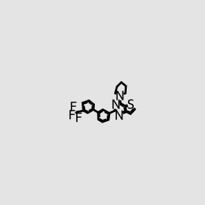 FC(F)(F)c1cccc(-c2cccc(-c3nc(N4CCCCC4)c4sccc4n3)c2)c1